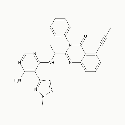 CC#Cc1cccc2nc(C(C)Nc3ncnc(N)c3-c3nnn(C)n3)n(-c3ccccc3)c(=O)c12